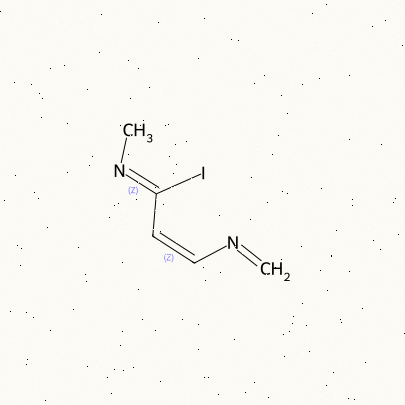 C=N/C=C\C(I)=N\C